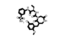 CC[C@@H](NC(=O)N1CC(=O)NCC(Cc2cc(Cl)ccc2OC)C1=O)C(=O)Nc1cccc(S(N)(=O)=O)c1